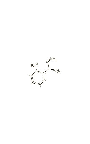 C[C@H](CN)c1ccccc1.Cl